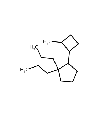 CCCC1(CCC)CCC[C]1C1CCC1C